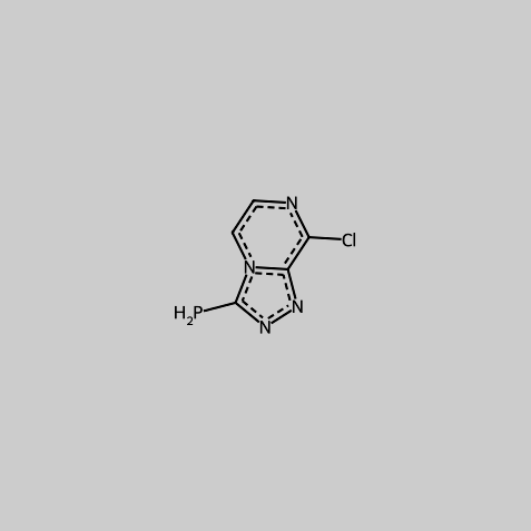 Pc1nnc2c(Cl)nccn12